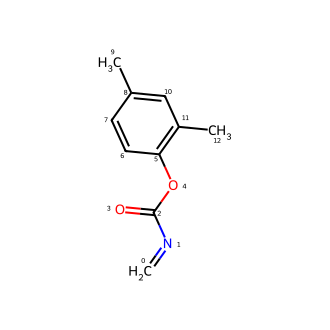 C=NC(=O)Oc1ccc(C)cc1C